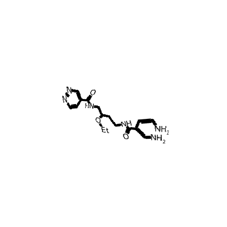 CCOC(CCNC(=O)C(/C=C\N)=C/N)CNC(=O)c1ccnnc1